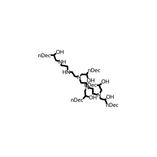 CCCCCCCCCCC(O)CNCCNCCN(CCN(CCN(CC(O)CCCCCCCCCC)CC(O)CCCCCCCCCC)CC(O)CCCCCCCCCC)CC(O)CCCCCCCCCC